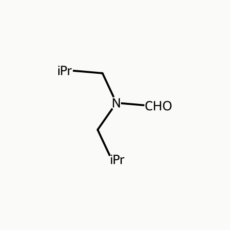 CC(C)CN(C=O)CC(C)C